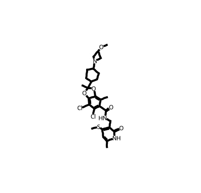 COC1CN(C2CCC(C3(C)Oc4c(C)c(C(=O)NCc5c(SC)cc(C)[nH]c5=O)c(Cl)c(Cl)c4O3)CC2)C1